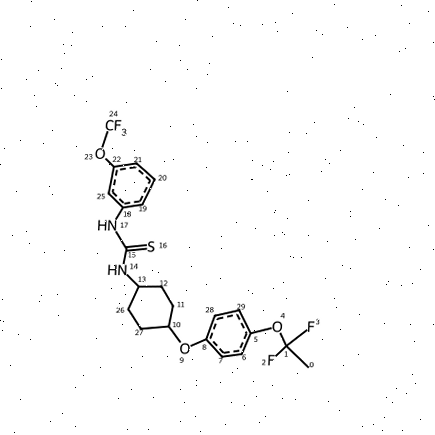 CC(F)(F)Oc1ccc(OC2CCC(NC(=S)Nc3cccc(OC(F)(F)F)c3)CC2)cc1